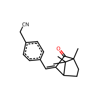 CC12CCC(C(=Cc3ccc(CC#N)cc3)C1=O)C2(C)C